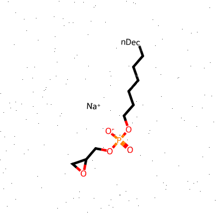 CCCCCCCCCCCCCCCCOP(=O)([O-])OCC1CO1.[Na+]